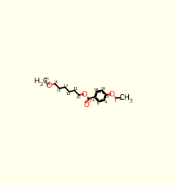 CCOc1ccc(C(=O)OCCCCCCOC)cc1